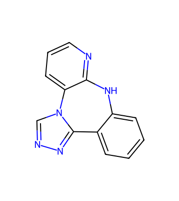 c1ccc2c(c1)Nc1ncccc1-n1cnnc1-2